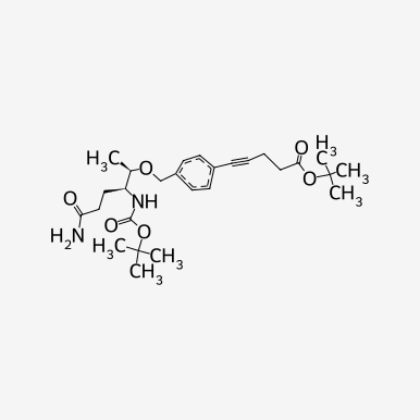 C[C@@H](OCc1ccc(C#CCCC(=O)OC(C)(C)C)cc1)[C@H](CCC(N)=O)NC(=O)OC(C)(C)C